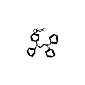 [Cl][Co][Cl].c1ccc(P(CCP(c2ccccc2)c2ccccc2)c2ccccc2)cc1